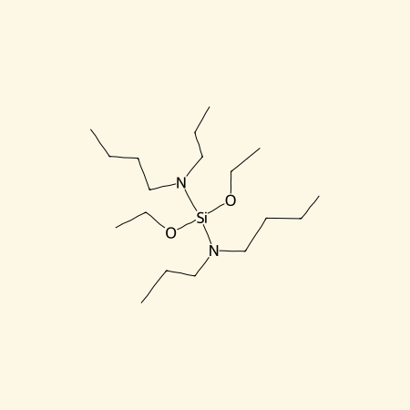 CCCCN(CCC)[Si](OCC)(OCC)N(CCC)CCCC